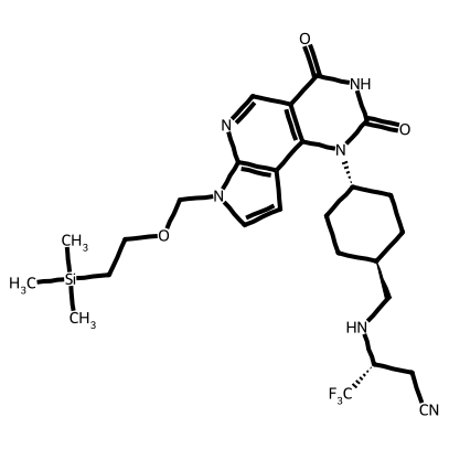 C[Si](C)(C)CCOCn1ccc2c1ncc1c(=O)[nH]c(=O)n([C@H]3CC[C@H](CN[C@H](CC#N)C(F)(F)F)CC3)c12